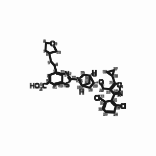 O=C(O)c1cc(CCC2CCOC2)c2nc(N3C[C@@H]4C[C@H]3C[C@H]4OCc3c(-c4c(Cl)cccc4Cl)noc3C3CC3)sc2c1